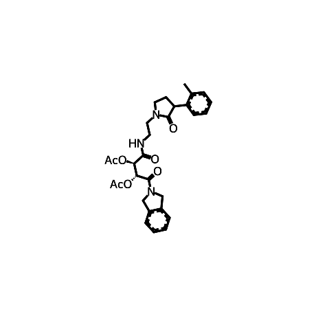 CC(=O)O[C@@H](C(=O)NCCN1CCC(c2ccccc2C)C1=O)[C@@H](OC(C)=O)C(=O)N1Cc2ccccc2C1